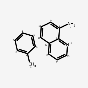 Cc1ccccc1.Nc1cccc2cccnc12